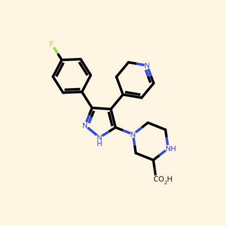 O=C(O)C1CN(c2[nH]nc(-c3ccc(F)cc3)c2C2=CC=NCC2)CCN1